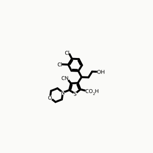 [C-]#[N+]c1c(N2CCOCC2)sc(C(=O)O)c1C(CCO)c1ccc(Cl)c(Cl)c1